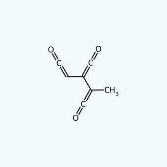 CC(=C=O)C(=C=O)C=C=O